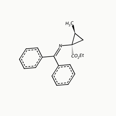 CCOC(=O)[C@@]1(N=C(c2ccccc2)c2ccccc2)C[C@@H]1C